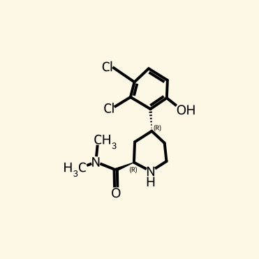 CN(C)C(=O)[C@H]1C[C@H](c2c(O)ccc(Cl)c2Cl)CCN1